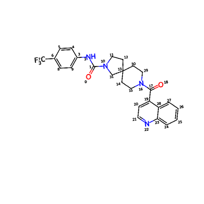 O=C(Nc1ccc(C(F)(F)F)cc1)N1CCC2(CCN(C(=O)c3ccnc4ccccc34)CC2)C1